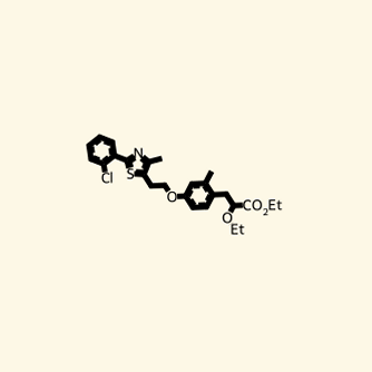 CCOC(=O)C(Cc1ccc(OCCc2sc(-c3ccccc3Cl)nc2C)cc1C)OCC